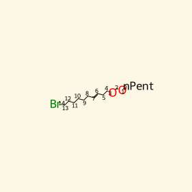 CCCCCOCOCCC=CCCCCCCBr